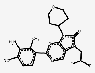 Cc1c(-c2ncc3c(n2)n(C2CCOCC2)c(=O)n3CC(F)F)ccc(C#N)c1N